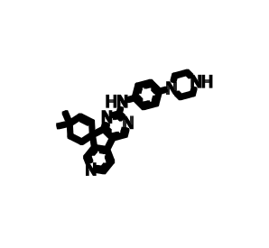 CC1(C)C=CC2(CC1)c1cnccc1-c1cnc(Nc3ccc(N4CCNCC4)cc3)nc12